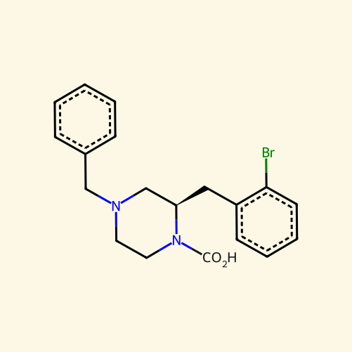 O=C(O)N1CCN(Cc2ccccc2)C[C@H]1Cc1ccccc1Br